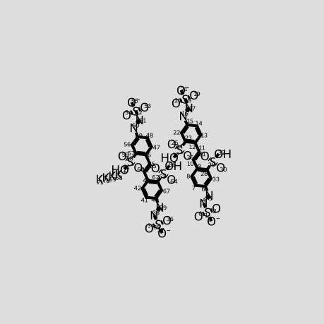 O=S(=O)([O-])N=Nc1ccc(C=Cc2ccc(N=NS(=O)(=O)[O-])cc2S(=O)(=O)O)c(S(=O)(=O)O)c1.O=S(=O)([O-])N=Nc1ccc(C=Cc2ccc(N=NS(=O)(=O)[O-])cc2S(=O)(=O)O)c(S(=O)(=O)O)c1.[K+].[K+].[K+].[K+]